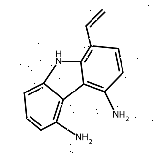 C=Cc1ccc(N)c2c1[nH]c1cccc(N)c12